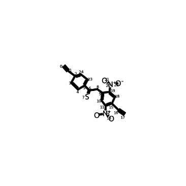 C#Cc1ccc(C(=S)Cc2cc([N+](=O)[O-])c(C#C)cc2[N+](=O)[O-])cc1